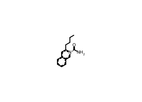 CCCCc1cc2ccccc2c[n+]1C(N)=O